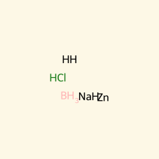 B.Cl.[HH].[NaH].[Zn]